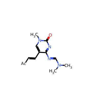 CC(=O)/C=C/c1cn(C)c(=O)nc1/N=C/N(C)C